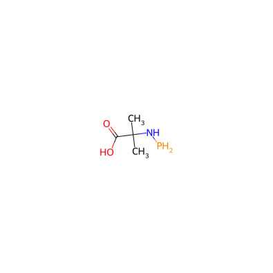 CC(C)(NP)C(=O)O